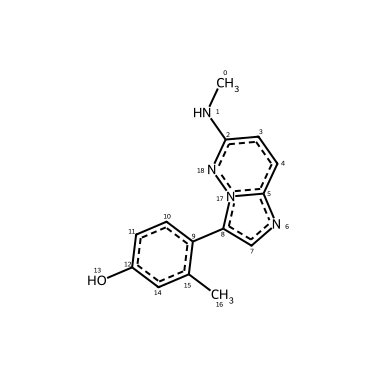 CNc1ccc2ncc(-c3ccc(O)cc3C)n2n1